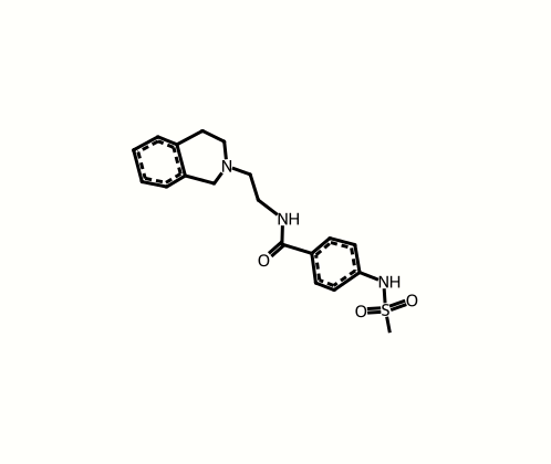 CS(=O)(=O)Nc1ccc(C(=O)NCCN2CCc3ccccc3C2)cc1